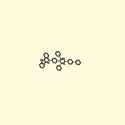 c1ccc(-c2ccc(-c3nc(-c4ccccc4)c(-c4ccc(-c5nc6c(nc7ccccn76)c6ccccc56)cc4)c(-c4ccccc4)n3)cc2)cc1